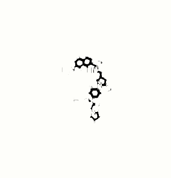 CN(C(=O)CN1CCCC1)c1ccc(N2CC(CNC(=O)c3ccc4ccc(N)cc4c3)CC2=O)cc1